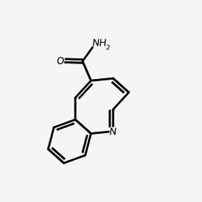 NC(=O)C1=C/c2ccccc2/N=C/C=C\1